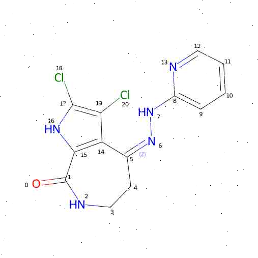 O=C1NCC/C(=N/Nc2ccccn2)c2c1[nH]c(Cl)c2Cl